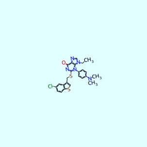 CCn1cnc2c(=O)nc(SCc3csc4ccc(Cl)cc34)n(-c3ccc(N(C)C)cc3)c21